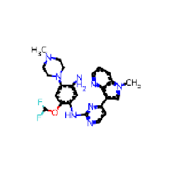 CN1CCN(c2cc(OC(F)F)c(Nc3nccc(-c4cn(C)c5cccnc45)n3)cc2N)CC1